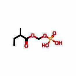 CCC(C)C(=O)OCOP(=O)(O)O